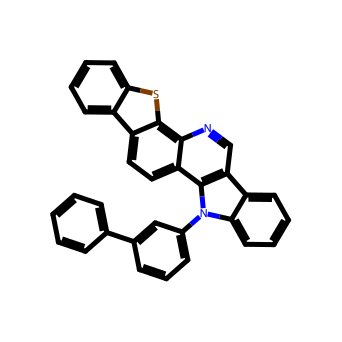 c1ccc(-c2cccc(-n3c4ccccc4c4cnc5c(ccc6c7ccccc7sc65)c43)c2)cc1